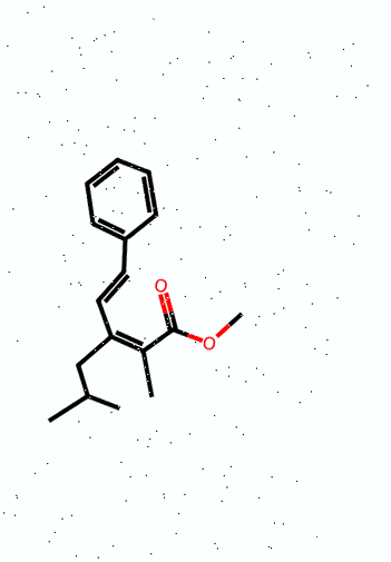 COC(=O)C(C)=C(C=Cc1ccccc1)CC(C)C